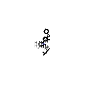 Cc1nc(/C(N)=C(\Cn2ncc(CC(C)C)n2)N(C)N)ccc1OC1CCCCC1